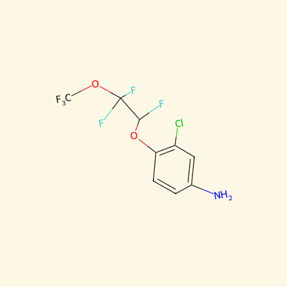 Nc1ccc(OC(F)C(F)(F)OC(F)(F)F)c(Cl)c1